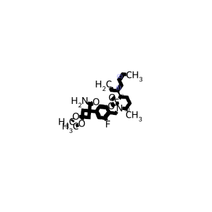 C=C/C(=C\C=C/C)[C@H]1CC[C@H](C)N(Cc2ccc(C3(C(N)=O)CC(OC)(OC)C3)cc2F)S1(=O)=O